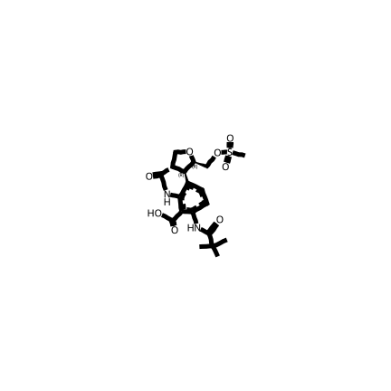 CC(=O)Nc1c([C@H]2CCO[C@H]2COS(C)(=O)=O)ccc(NC(=O)C(C)(C)C)c1C(=O)O